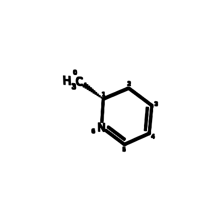 C[C@@H]1CC=CC=N1